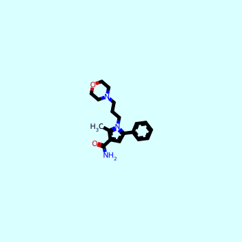 Cc1c(C(N)=O)cc(-c2ccccc2)n1CCCN1CCOCC1